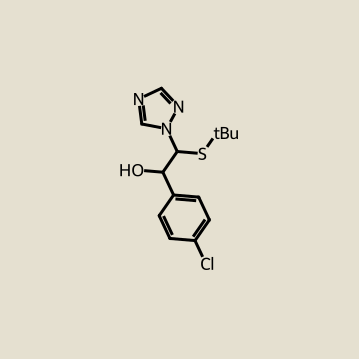 CC(C)(C)SC(C(O)c1ccc(Cl)cc1)n1cncn1